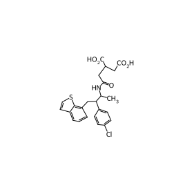 CC(NC(=O)CC(CC(=O)O)C(=O)O)C(Cc1cccc2ccsc12)c1ccc(Cl)cc1